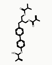 C=C(C)C(=O)OCC(COC(=O)C(C)C)Cc1ccc(-c2ccc(OC(O)C(=C)C)cc2)cc1